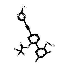 COc1c(F)cc(F)cc1-c1ccc(C#Cc2csc(C)n2)c[n+]1OC(=O)C(F)(F)F